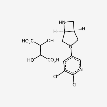 Clc1cc(N2C[C@@H]3CN[C@@H]3C2)cnc1Cl.O=C(O)C(O)C(O)C(=O)O